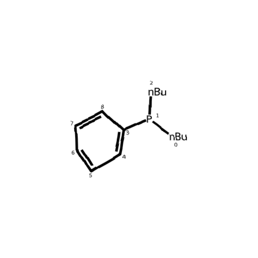 CCCCP(CCCC)c1ccccc1